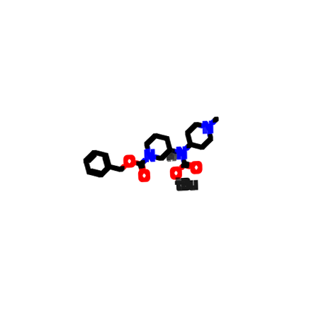 CN1CCC(N(C(=O)OC(C)(C)C)[C@@H]2CCCN(C(=O)OCc3ccccc3)C2)CC1